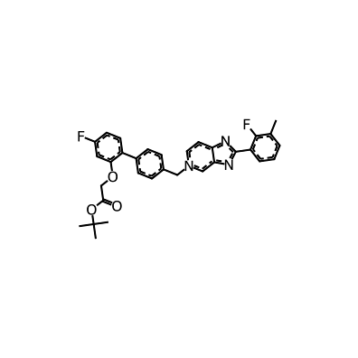 Cc1cccc(-c2nc3ccn(Cc4ccc(-c5ccc(F)cc5OCC(=O)OC(C)(C)C)cc4)cc-3n2)c1F